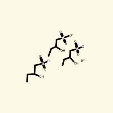 CCC(O)CS(=O)(=O)[O-].CCC(O)CS(=O)(=O)[O-].CCC(O)CS(=O)(=O)[O-].[Bi+3]